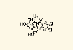 Cc1c([C@H](C)C(=O)O)c2cc(O)ccc2n1C(=O)c1ccc(Cl)c(Cl)c1